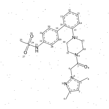 Cc1cc(C)n(CC(=O)N2CCN(c3ccccc3-c3ccc(NS(C)(=O)=O)cc3)CC2)n1